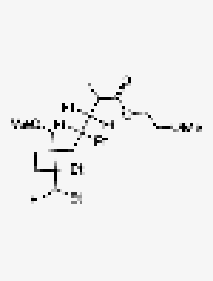 CCC(CC)C1(CC)CCC1(COC)CC(CC)(CC)C(CC)(CC)C(C)C(=O)OCCOC